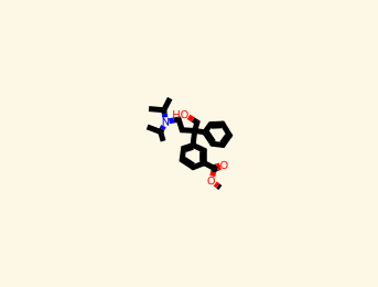 COC(=O)c1cccc(C(CO)(CCN(C(C)C)C(C)C)c2ccccc2)c1